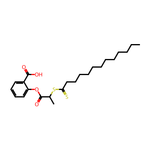 CCCCCCCCCCCCC(=S)SC(C)C(=O)Oc1ccccc1C(=O)O